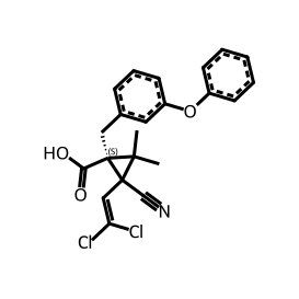 CC1(C)C(C#N)(C=C(Cl)Cl)[C@@]1(Cc1cccc(Oc2ccccc2)c1)C(=O)O